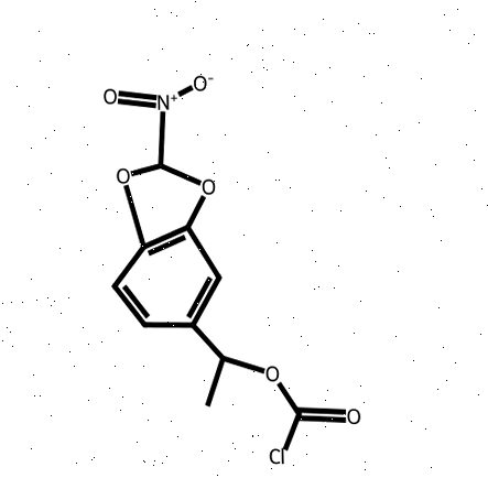 CC(OC(=O)Cl)c1ccc2c(c1)OC([N+](=O)[O-])O2